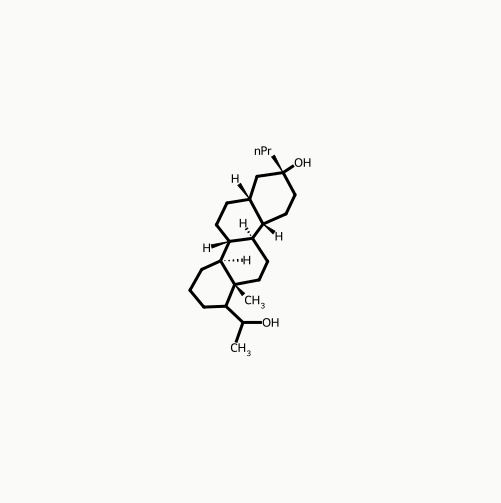 CCC[C@@]1(O)CC[C@H]2[C@H](CC[C@@H]3[C@@H]2CC[C@]2(C)C(C(C)O)CCC[C@@H]32)C1